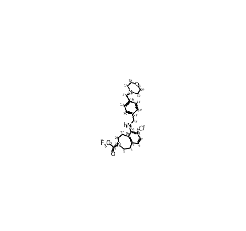 O=C(N1CCc2ccc(Cl)c(NCc3ccc(CN4CCOCC4)cc3)c2CC1)C(F)(F)F